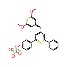 COC1=CC(=Cc2cc(-c3ccccc3)[s+]c(-c3ccccc3)c2)C=C(OC)S1.[O-][Cl+3]([O-])([O-])[O-]